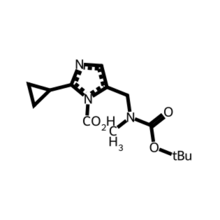 CN(Cc1cnc(C2CC2)n1C(=O)O)C(=O)OC(C)(C)C